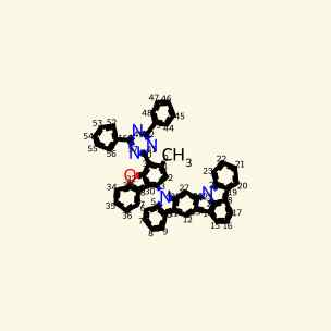 Cc1cc(-n2c3ccccc3c3cc4c5cccc6c7ccccc7n(c4cc32)c65)c2c(oc3ccccc32)c1-c1nc(-c2ccccc2)nc(-c2ccccc2)n1